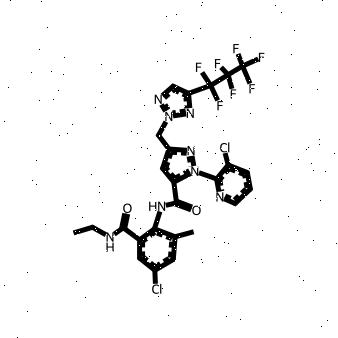 CCNC(=O)c1cc(Cl)cc(C)c1NC(=O)c1cc(Cn2ncc(C(F)(F)C(F)(F)C(F)(F)F)n2)nn1-c1ncccc1Cl